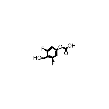 O=C(O)Oc1cc(F)c(CO)c(F)c1